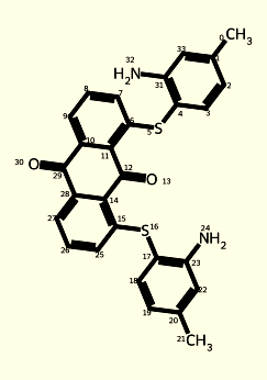 Cc1ccc(Sc2cccc3c2C(=O)c2c(Sc4ccc(C)cc4N)cccc2C3=O)c(N)c1